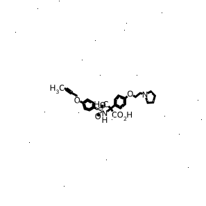 CC#CCOc1ccc(S(=O)(=O)NC(C)(C(=O)O)c2ccc(OCCN3CCCC3)cc2)cc1